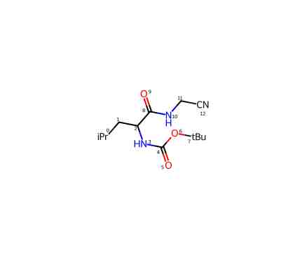 CC(C)CC(NC(=O)OC(C)(C)C)C(=O)NCC#N